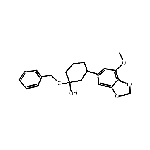 COc1cc(C2CCCC(O)(OCc3ccccc3)C2)cc2c1OCO2